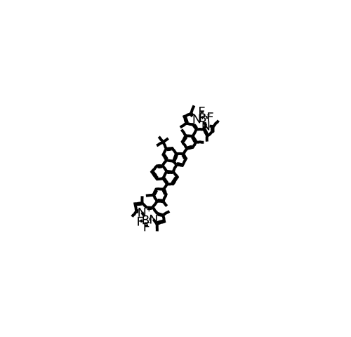 CC1=CC(C)=[N+]2C1=C(c1c(C)cc(-c3ccc4c5ccc(-c6cc(C)c(C7=C8C(C)=CC(C)=[N+]8[B-](F)(F)n8c(C)cc(C)c87)c(C)c6)c6cc(C(C)(C)C)cc(c7cccc3c47)c65)cc1C)c1c(C)cc(C)n1[B-]2(F)F